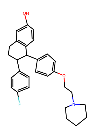 Oc1ccc2c(c1)CCC(c1ccc(F)cc1)C2c1ccc(OCCN2CCCCC2)cc1